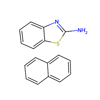 Nc1nc2ccccc2s1.c1ccc2ccccc2c1